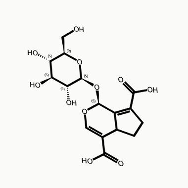 O=C(O)C1=CO[C@@H](O[C@@H]2O[C@H](CO)[C@@H](O)[C@H](O)[C@H]2O)C2=C(C(=O)O)CCC12